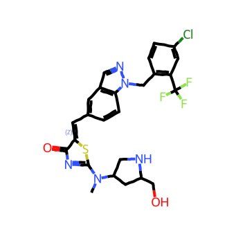 CN(C1=NC(=O)/C(=C/c2ccc3c(cnn3Cc3ccc(Cl)cc3C(F)(F)F)c2)S1)C1CNC(CO)C1